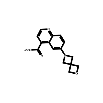 COC(=O)c1ccnc2ccc(N3CC4(COC4)C3)cc12